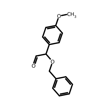 COc1ccc(C(C=O)OCc2ccccc2)cc1